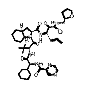 CCC[C@H](NC(=O)[C@@H]1C[C@@H]2CCCC[C@@H]2N1C(=O)[C@@H](NC(=O)C(NC(=O)c1cnccn1)C1CCCCC1)C(C)(C)C)C(=O)C(=O)NC[C@H]1CCCO1